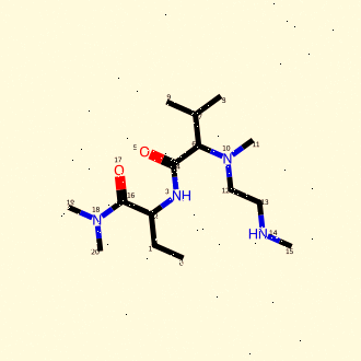 CCC(NC(=O)C(C(C)C)N(C)CCNC)C(=O)N(C)C